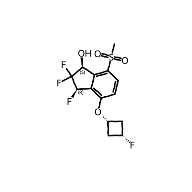 CS(=O)(=O)c1ccc(O[C@H]2C[C@@H](F)C2)c2c1[C@H](O)C(F)(F)[C@@H]2F